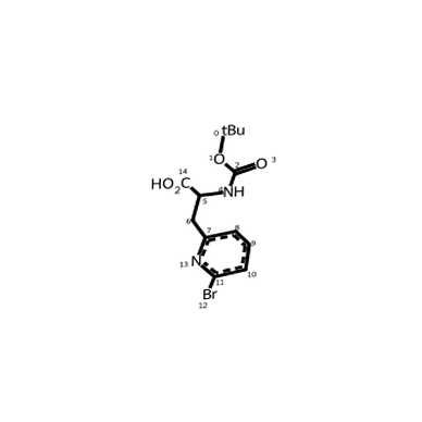 CC(C)(C)OC(=O)NC(Cc1cccc(Br)n1)C(=O)O